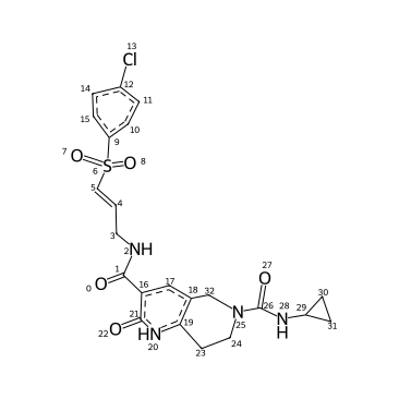 O=C(NC/C=C/S(=O)(=O)c1ccc(Cl)cc1)c1cc2c([nH]c1=O)CCN(C(=O)NC1CC1)C2